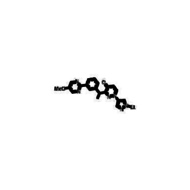 CCn1cc(-n2ccc(=O)c(C(C)c3cccc(-c4ncc(OC)cn4)c3)n2)cn1